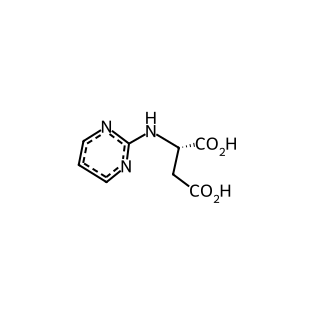 O=C(O)C[C@H](Nc1ncccn1)C(=O)O